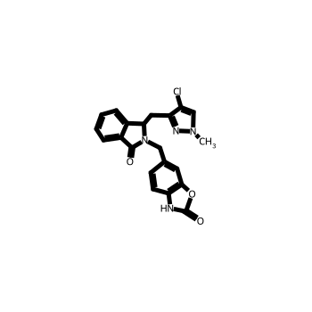 Cn1cc(Cl)c(CC2c3ccccc3C(=O)N2Cc2ccc3[nH]c(=O)oc3c2)n1